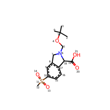 CC(C)(C)OCN1Cc2cc(S(C)(=O)=O)ccc2C1C(=O)O